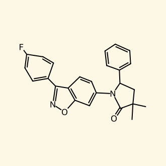 CC1(C)CC(c2ccccc2)N(c2ccc3c(-c4ccc(F)cc4)noc3c2)C1=O